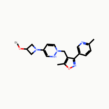 CCOC1CN(C2=CNN(Cc3c(-c4ccc(C)nc4)noc3C)C=C2)C1